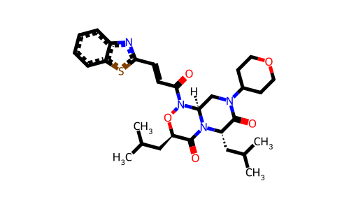 CC(C)C[C@H]1ON(C(=O)/C=C/c2nc3ccccc3s2)[C@H]2CN(C3CCOCC3)C(=O)[C@H](CC(C)C)N2C1=O